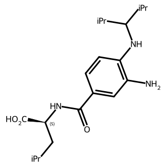 CC(C)C[C@H](NC(=O)c1ccc(NC(C(C)C)C(C)C)c(N)c1)C(=O)O